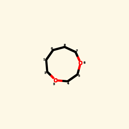 C1CCOCCOCC1